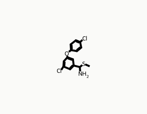 CSC(N)c1cc(Cl)cc(Oc2ccc(Cl)cc2)c1